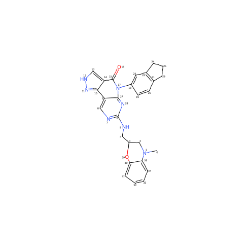 CN1CC(CNc2ncc3c4n[nH]cc4c(=O)n(-c4ccc5c(c4)CCC5)c3n2)Oc2ccccc21